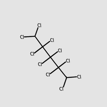 Cl[C](Cl)C(Cl)(Cl)C(Cl)(Cl)C(Cl)(Cl)C(Cl)Cl